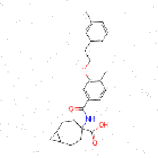 Cc1cccc(CCOc2cc(C(=O)NC3(C(=O)O)CCC4CC4CC3)ccc2C)c1